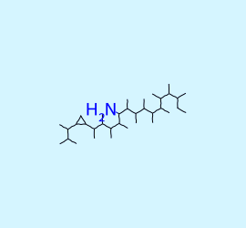 CCC(C)C(C)C(C)C(C)C(C)C(C)C(C)C(C)C(N)C(C)C(C)C(C)C(C)C1CC1C(C)C(C)C